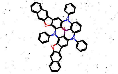 O=P12c3c4cccc3N(c3ccccc3)c3cc5c(oc6cc7ccccc7cc65)c(c31)N(c1ccccc1)c1c2c(cc2c1oc1cc3ccccc3cc12)N4c1ccccc1